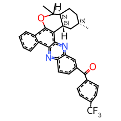 C[C@H]1CC[C@H]2[C@H](C1)c1c(c3ccccc3c3nc4ccc(C(=O)c5ccc(C(F)(F)F)cc5)cc4nc13)OC2(C)C